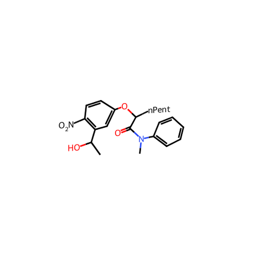 CCCCCC(Oc1ccc([N+](=O)[O-])c(C(C)O)c1)C(=O)N(C)c1ccccc1